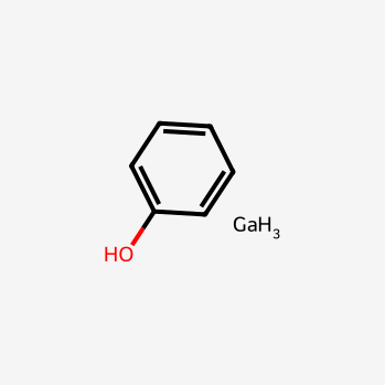 Oc1ccccc1.[GaH3]